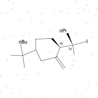 C=C1CC(C(C)(C)CCCC)CC[C@H]1[C@@](C)(I)CCC